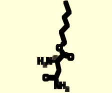 CCCCCCOC(=O)[C@@H](N)CC(N)=O